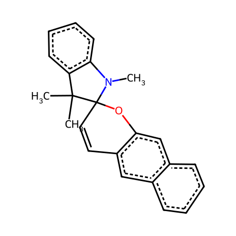 CN1c2ccccc2C(C)(C)C12C=Cc1cc3ccccc3cc1O2